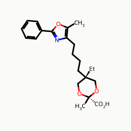 CC[C@]1(CCCCc2nc(-c3ccccc3)oc2C)CO[C@@](C)(C(=O)O)OC1